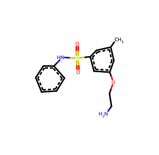 Cc1cc(OCCN)cc(S(=O)(=O)Nc2ccccc2)c1